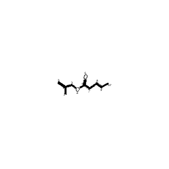 C=C(C)COC(=O)CCCC